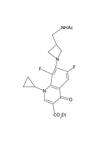 CCOC(=O)c1cn(C2CC2)c2c(F)c(N3CC(CNC(C)=O)C3)c(F)cc2c1=O